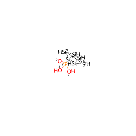 O=P(O)(O)[Si]12[SiH]3[SiH]4[SiH]3[SiH]1[SiH]42